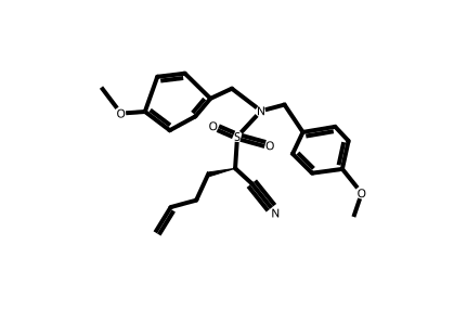 C=CCC[C@H](C#N)S(=O)(=O)N(Cc1ccc(OC)cc1)Cc1ccc(OC)cc1